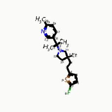 CCC1(CCc2ccc(F)s2)CCN(C(C)(C)c2ccc(C)nc2)C1